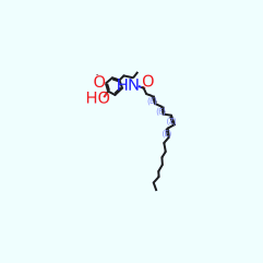 CCCCCCCC/C=C/C=C\C=C\C=C\CC(=O)NC(C)Cc1ccc(O)c(OC)c1